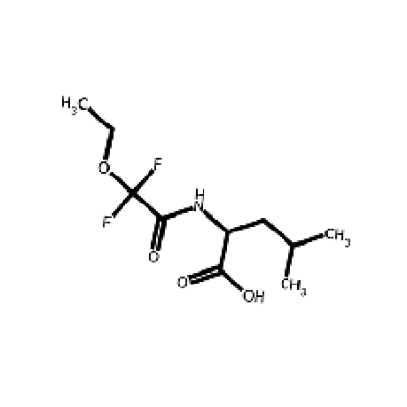 CCOC(F)(F)C(=O)NC(CC(C)C)C(=O)O